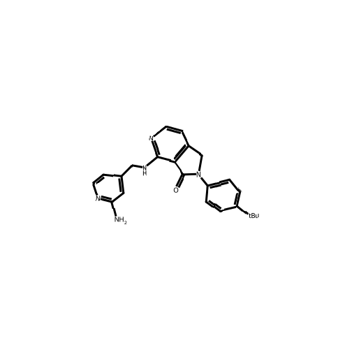 CC(C)(C)c1ccc(N2Cc3ccnc(NCc4ccnc(N)c4)c3C2=O)cc1